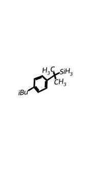 CCC(C)c1ccc(C(C)(C)[SiH3])cc1